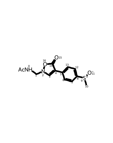 CC(=O)NCn1cc(-c2ccc([S+](C)[O-])cc2)c(=O)o1